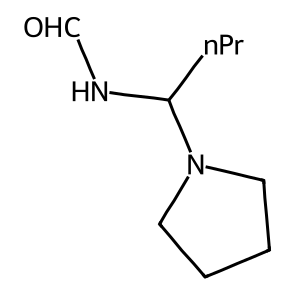 CCCC(NC=O)N1CCCC1